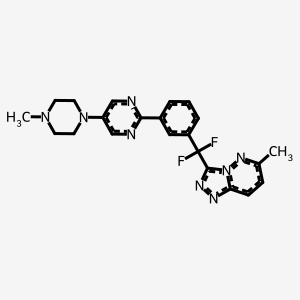 Cc1ccc2nnc(C(F)(F)c3cccc(-c4ncc(N5CCN(C)CC5)cn4)c3)n2n1